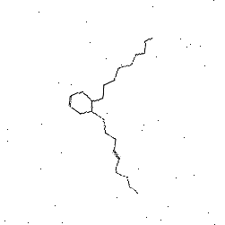 CCCCCCCCCC1CCCCC1CCCCCCCCC